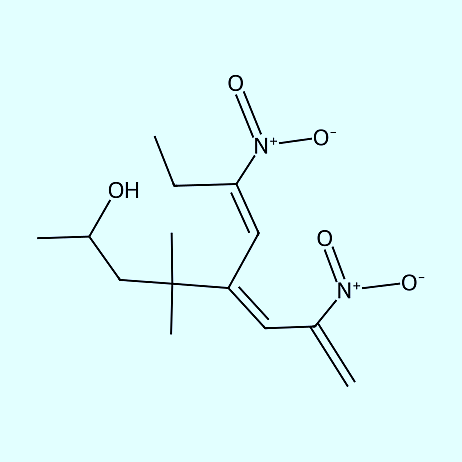 C=C(/C=C(\C=C(/CC)[N+](=O)[O-])C(C)(C)CC(C)O)[N+](=O)[O-]